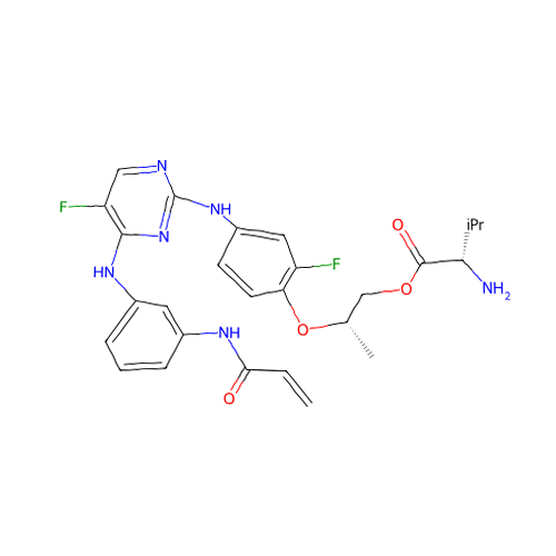 C=CC(=O)Nc1cccc(Nc2nc(Nc3ccc(O[C@@H](C)COC(=O)[C@@H](N)C(C)C)c(F)c3)ncc2F)c1